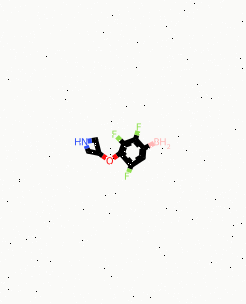 Bc1cc(F)c(OC2CNC2)c(F)c1F